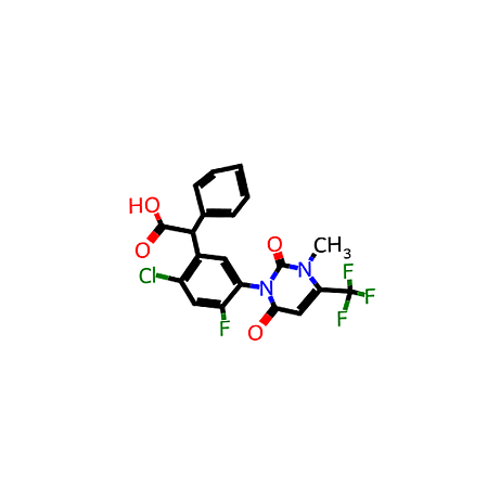 Cn1c(C(F)(F)F)cc(=O)n(-c2cc(C(C(=O)O)c3ccccc3)c(Cl)cc2F)c1=O